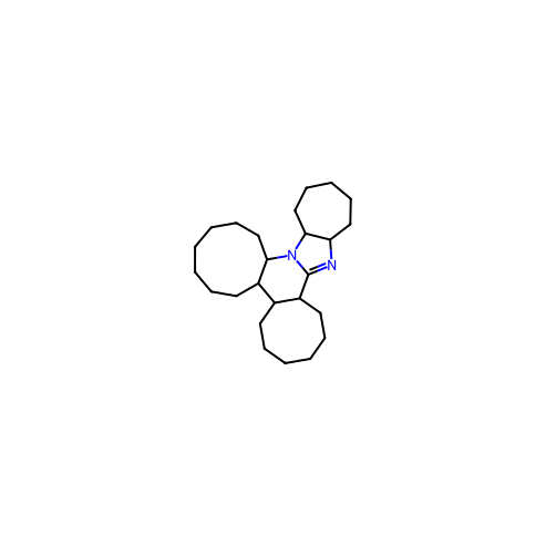 C1CCCC2C3CCCCCCC3C3=NC4CCCCCC4N3C2CCC1